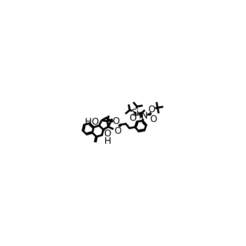 C=C1CC2(O)C(O)(c3ccccc31)C1CC(OC(=O)CCc3cccc(NC(=O)OC(C)(C)C)c3O[Si](C(C)C)(C(C)C)C(C)C)C2(C)C1(C)C